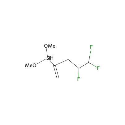 C=C(CC(F)C(F)F)[SiH](OC)OC